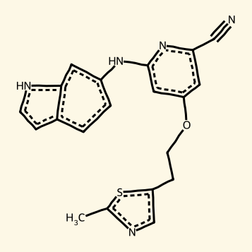 Cc1ncc(CCOc2cc(C#N)nc(Nc3ccc4cc[nH]c4c3)c2)s1